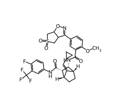 COc1ccc(C2=NOC3CS(=O)(=O)CC23)cc1C(=O)N[C@H]1[C@@H](C(=O)Nc2ccc(F)c(C(F)(F)F)c2)[C@H]2CC[C@@H]1/C2=C\C1CC1